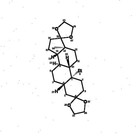 CC[C@]12CCC3(C[C@@H]1CC[C@@H]1[C@@H]2CC[C@@]2(C)[C@H]1CCC21OCCO1)OCCO3